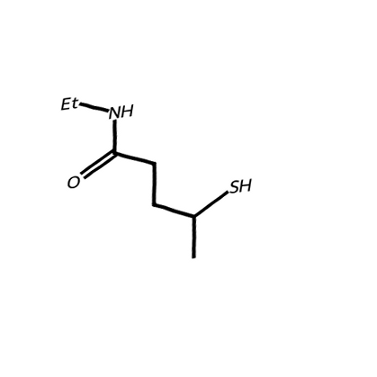 CCNC(=O)CCC(C)S